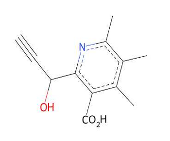 C#CC(O)c1nc(C)c(C)c(C)c1C(=O)O